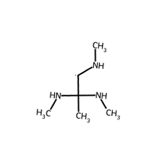 CN[CH]C(C)(NC)NC